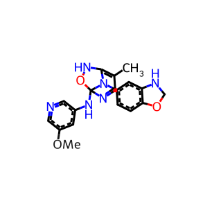 COc1cncc(NC23N=CC(C)=C(NO2)N3c2ccc3c(c2)NCO3)c1